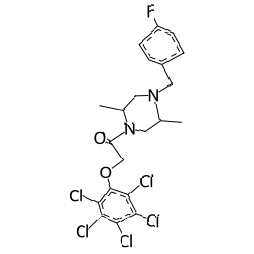 CC1CN(C(=O)COc2c(Cl)c(Cl)c(Cl)c(Cl)c2Cl)C(C)CN1Cc1ccc(F)cc1